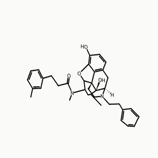 Cc1cccc(CCC(=O)N(C)C2CC(C)[C@@]3(O)[C@H]4Cc5ccc(O)c6c5[C@@]3(CCN4CCc3ccccc3)C2O6)c1